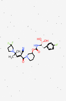 CC(C)(C=C(C#N)C(=O)N1CCCC(OC(=O)N[C@@H](Cc2ccc(F)cc2)B(O)O)C1)N1CCC(F)(F)C1